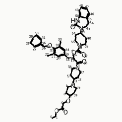 CCOC(=O)COC1CCN(C2CCN(C(=O)[C@@H](Cc3cc(C)c(OCc4ccccc4)c(C)c3)OC(=O)N3CCC(N4CCc5ccccc5NC4=O)CC3)CC2)CC1